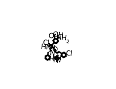 Nc1ccc(-c2nc([C@H](Cc3ccccc3)NC(=O)/C=C/c3cc(Cl)ccc3-n3cnnn3)[nH]c2Cl)cc1C(=O)O